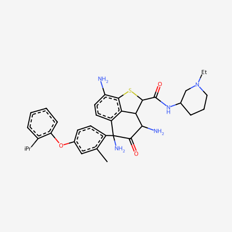 CCN1CCCC(NC(=O)C2Sc3c(N)ccc4c3C2C(N)C(=O)C4(N)c2ccc(Oc3ccccc3C(C)C)cc2C)C1